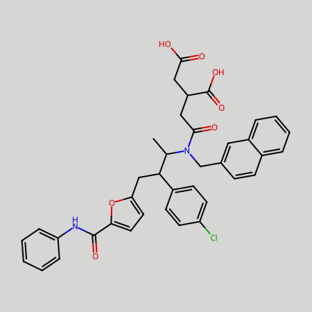 CC(C(Cc1ccc(C(=O)Nc2ccccc2)o1)c1ccc(Cl)cc1)N(Cc1ccc2ccccc2c1)C(=O)CC(CC(=O)O)C(=O)O